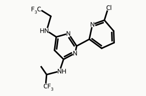 CC(Nc1cc(NCC(F)(F)F)nc(-c2cccc(Cl)n2)n1)C(F)(F)F